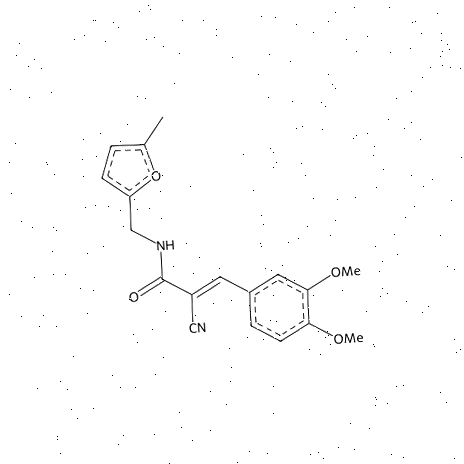 COc1ccc(/C=C(\C#N)C(=O)NCc2ccc(C)o2)cc1OC